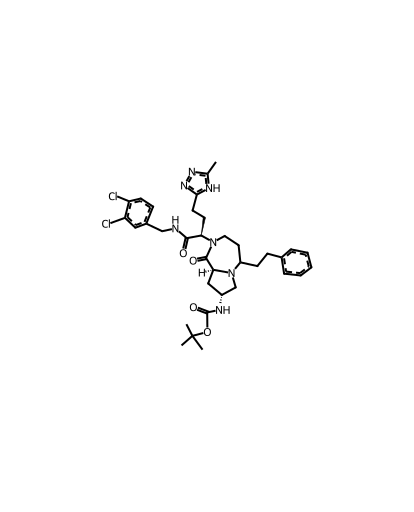 Cc1nnc(CC[C@H](C(=O)NCc2ccc(Cl)c(Cl)c2)N2CCC(CCc3ccccc3)N3C[C@H](NC(=O)OC(C)(C)C)C[C@H]3C2=O)[nH]1